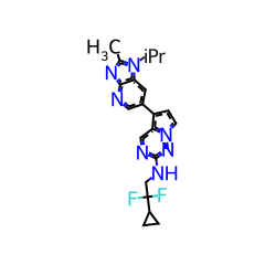 Cc1nc2ncc(-c3ccn4nc(NCC(F)(F)C5CC5)ncc34)cc2n1C(C)C